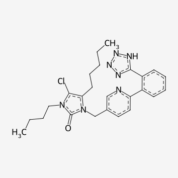 CCCCCc1c(Cl)n(CCCC)c(=O)n1Cc1ccc(-c2ccccc2-c2nnn[nH]2)nc1